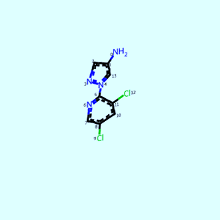 Nc1cnn(-c2ncc(Cl)cc2Cl)c1